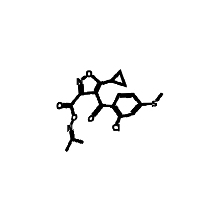 CSc1ccc(C(=O)c2c(C(=O)ON=C(C)C)noc2C2CC2)c(Cl)c1